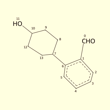 O=Cc1ccccc1C1CCC(O)CC1